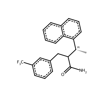 C[C@@H](c1cccc2ccccc12)C(Cc1cccc(C(F)(F)F)c1)C(N)=O